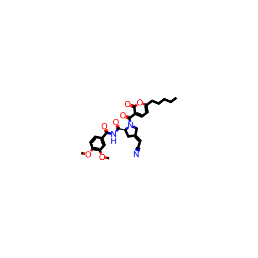 CCCCCc1ccc(C(=O)N2C/C(=C/C#N)C[C@H]2C(=O)NC(=O)c2ccc(OC)c(OC)c2)c(=O)o1